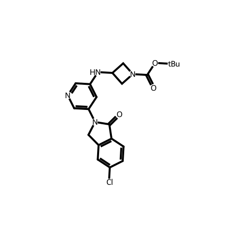 CC(C)(C)OC(=O)N1CC(Nc2cncc(N3Cc4cc(Cl)ccc4C3=O)c2)C1